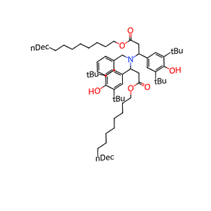 CCCCCCCCCCCCCCCCCCOC(=O)CC(c1cc(C(C)(C)C)c(O)c(C(C)(C)C)c1)N(Cc1ccccc1)C(CC(=O)OCCCCCCCCCCCCCCCCCC)c1cc(C(C)(C)C)c(O)c(C(C)(C)C)c1